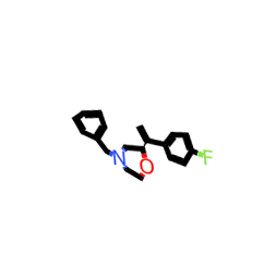 C=C(c1ccc(F)cc1)[C@H]1CN(Cc2ccccc2)CCO1